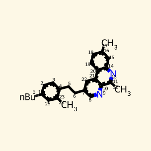 CCCCc1ccc(CCc2cnc3c(C)nc4cc(C)ccc4c3c2)c(C)c1